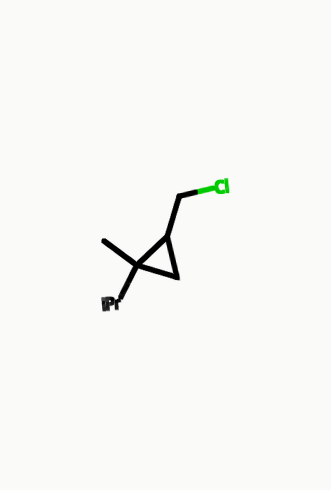 CC(C)C1(C)CC1CCl